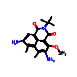 Cc1c(N)cc2c3c(c(O[SiH3])c(N)c(C)c13)C(=O)N(C(C)(C)C)C2=O